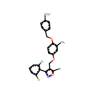 Cc1cc(OCc2c(-c3c(Cl)cccc3Cl)noc2C(C)C)ccc1OCc1ccc(C(=O)O)cc1